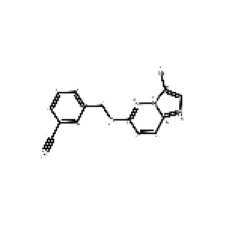 N#Cc1cccc(COc2ccc3ncc(Br)n3n2)c1